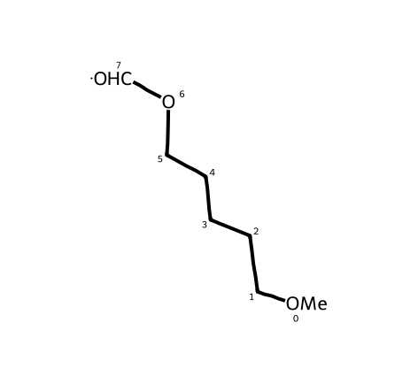 COCCCCCO[C]=O